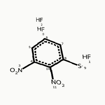 F.F.F.O=[N+]([O-])c1cccc([S])c1[N+](=O)[O-]